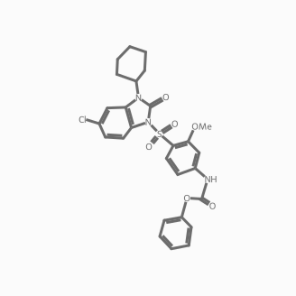 COc1cc(NC(=O)Oc2ccccc2)ccc1S(=O)(=O)n1c(=O)n(C2CCCCC2)c2cc(Cl)ccc21